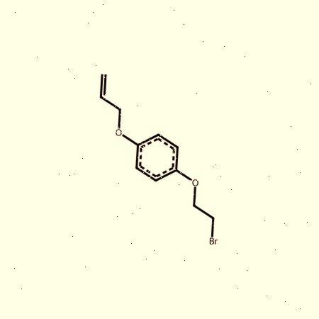 C=CCOc1ccc(OCCBr)cc1